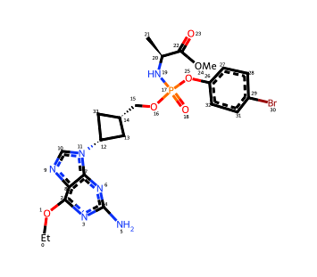 CCOc1nc(N)nc2c1ncn2[C@H]1C[C@@H](COP(=O)(N[C@@H](C)C(=O)OC)Oc2ccc(Br)cc2)C1